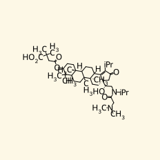 CC(C)C1=C2[C@H]3CC[C@@H]4[C@@]5(C)CC[C@H](OC(=O)CC(C)(C)C(=O)O)C(C)(C)[C@@H]5CC[C@@]4(C)[C@]3(C)CC[C@@]2([C@@H](O)CN(C(=O)CN(C)C)C(C)C)CC1=O